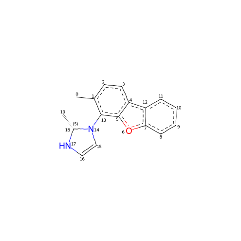 Cc1ccc2c(oc3ccccc32)c1N1C=CN[C@@H]1C